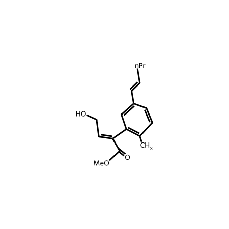 CCC/C=C/c1ccc(C)c(/C(=C\CO)C(=O)OC)c1